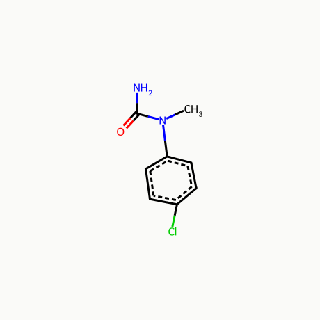 CN(C(N)=O)c1ccc(Cl)cc1